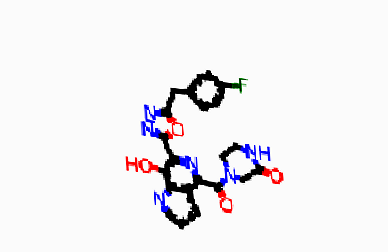 O=C1CN(C(=O)c2nc(-c3nnc(Cc4ccc(F)cc4)o3)c(O)c3ncccc23)CCN1